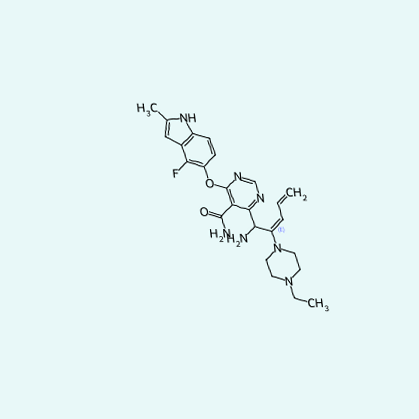 C=C/C=C(\C(N)c1ncnc(Oc2ccc3[nH]c(C)cc3c2F)c1C(N)=O)N1CCN(CC)CC1